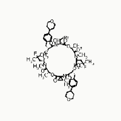 CC(C)C[C@H]1C(=O)O[C@H](C)C(=O)N(C)[C@@H](CC(C)(C)F)C(=O)O[C@H](Cc2ccc(C3CCOCC3)cc2)C(=O)N(C)C2(CC2)C(=O)O[C@H](C)C(=O)N(C)[C@@H](CC(C)(C)F)CO[C@H](Cc2ccc(C3CCOCC3)cc2)C(=O)N1C